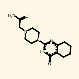 NC(=O)CN1CCN(c2nc3c(c(=O)[nH]2)CCCC3)CC1